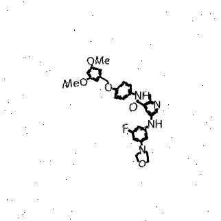 COc1cc(COc2ccc(NC(=O)c3cc(Nc4cc(F)cc(N5CCOCC5)c4)cnc3C)cc2)cc(OC)c1